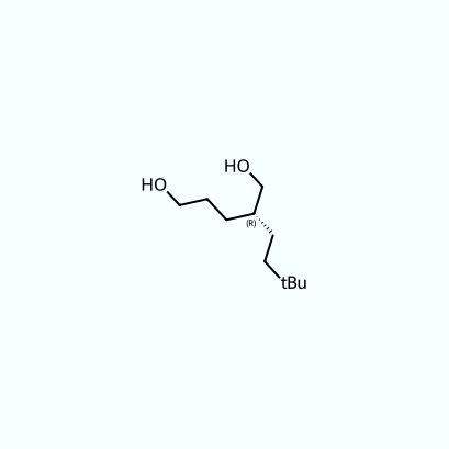 CC(C)(C)CC[C@@H](CO)CCCO